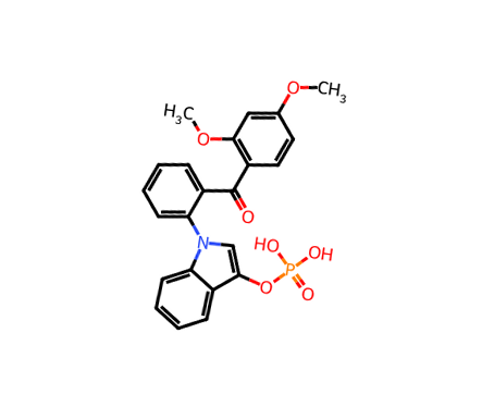 COc1ccc(C(=O)c2ccccc2-n2cc(OP(=O)(O)O)c3ccccc32)c(OC)c1